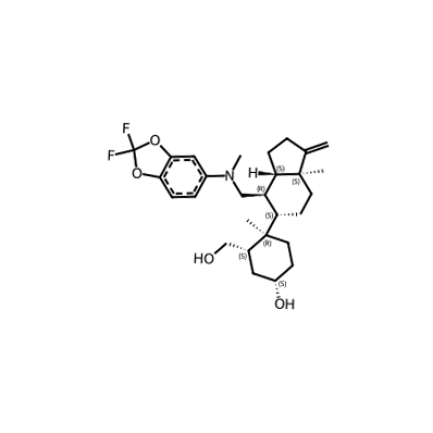 C=C1CC[C@H]2[C@H](CN(C)c3ccc4c(c3)OC(F)(F)O4)[C@@H]([C@@]3(C)CC[C@H](O)C[C@@H]3CO)CC[C@]12C